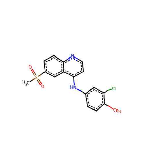 CS(=O)(=O)c1ccc2nccc(Nc3ccc(O)c(Cl)c3)c2c1